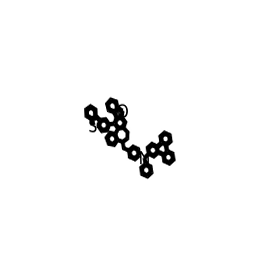 c1ccc(N(c2ccc(CC3CCc4cc5oc6ccccc6c5c(-c5ccc6sc7ccccc7c6c5)c4-c4ccccc43)cc2)c2ccc3c4ccccc4c4ccccc4c3c2)cc1